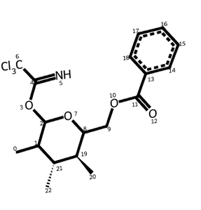 CC1C(OC(=N)C(Cl)(Cl)Cl)OC(COC(=O)c2ccccc2)[C@@H](C)[C@@H]1C